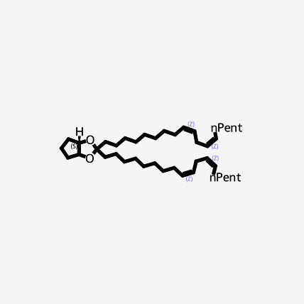 CCCCC/C=C\C/C=C\CCCCCCCCC1(CCCCCCCC/C=C\C/C=C\CCCCC)OC2CCC[C@@H]2O1